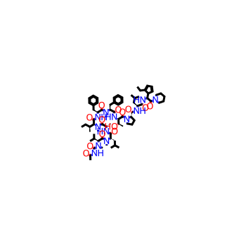 CCC1=CC=CC1C(NC(=O)[C@H](CC(C)C)NC(=O)[C@@H]1CCCN1C(=O)[C@@H](NC(=O)[C@H](Cc1ccccc1)N(C)C(=O)[C@H](Cc1ccccc1)NC(=O)[C@H]([C@@H](C)CC)N(C)C(=O)[C@H](C)NC(=O)[C@H](CC(C)C)N(C)C(=O)[C@H](C(C)C)N(C)C(=O)NC(C)=O)[C@@H](C)O)C(=O)N1CCCCC1